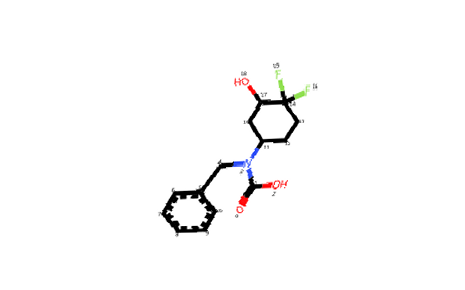 O=C(O)N(Cc1ccccc1)C1CCC(F)(F)C(O)C1